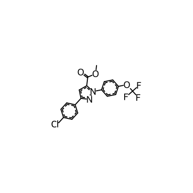 COC(=O)c1cc(-c2ccc(Cl)cc2)nn1-c1ccc(OC(F)(F)F)cc1